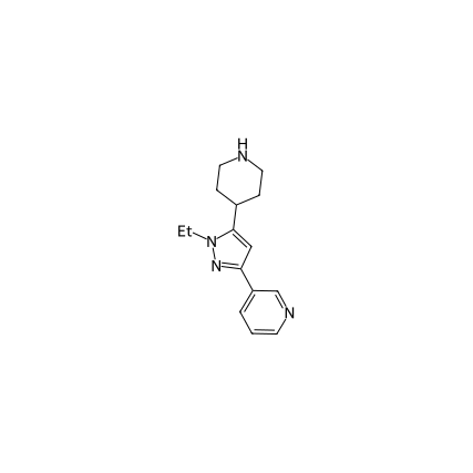 CCn1nc(-c2cccnc2)cc1C1CCNCC1